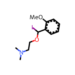 COc1ccccc1C(I)OCCN(C)C